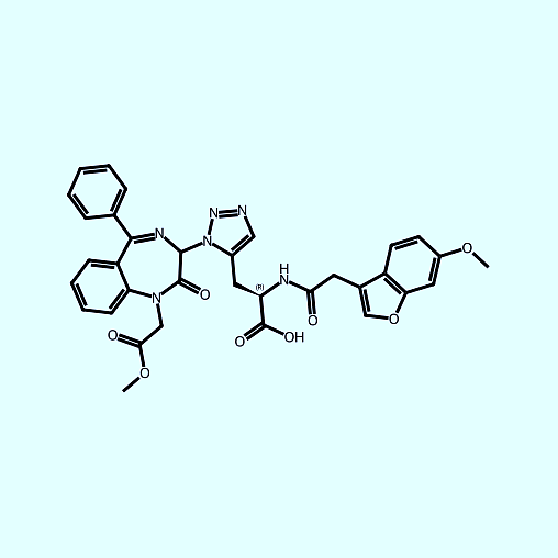 COC(=O)CN1C(=O)C(n2nncc2C[C@@H](NC(=O)Cc2coc3cc(OC)ccc23)C(=O)O)N=C(c2ccccc2)c2ccccc21